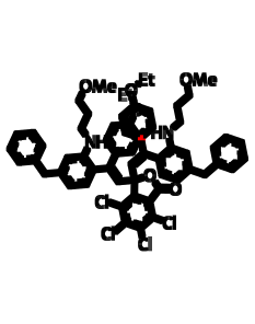 CCOc1ccc(C(=CC2(C=C(c3ccc(OCC)cc3)c3ccc(Cc4ccccc4)cc3NCCCOC)OC(=O)c3c(Cl)c(Cl)c(Cl)c(Cl)c32)c2ccc(Cc3ccccc3)cc2NCCCOC)cc1